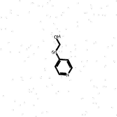 O[CH2][Sn][c]1ccncc1